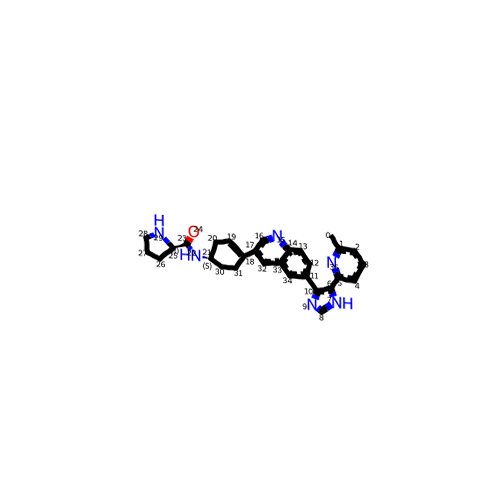 Cc1cccc(-c2[nH]cnc2-c2ccc3ncc(C4=CC[C@@H](NC(=O)[C@H]5CCCN5)CC4)cc3c2)n1